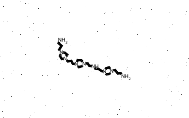 NCCCN1CCN(CCCNCCN2CCN(CCCN3CCN(CCCN)CC3)CC2)CC1